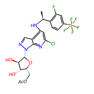 CC(=O)OC[C@H]1O[C@@H](n2ncc3c(N[C@@H](C)c4ccc(S(F)(F)(F)(F)F)cc4F)cc(Cl)nc32)[C@H](O)[C@H]1O